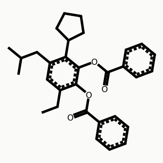 CCc1cc(CC(C)C)c(C2CCCC2)c(OC(=O)c2ccccc2)c1OC(=O)c1ccccc1